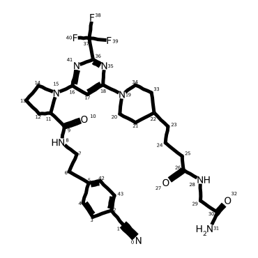 N#Cc1ccc(CCNC(=O)C2CCCN2c2cc(N3CCC(CCCC(=O)NCC(N)=O)CC3)nc(C(F)(F)F)n2)cc1